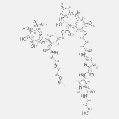 C=C1C[C@H]2C(O)N(C(=O)OCc3ccc(O[C@@H]4O[C@H](C(=O)O)[C@@H](O)[C@H](O)[C@H]4O)c(C(=O)NCCOCCON)c3)c3cc(OCCCC(=O)Nc4cn(C)c(C(=O)Nc5cc(C(=O)NCCCO)n(C)c5)n4)c(OC)cc3C(=O)N2C1